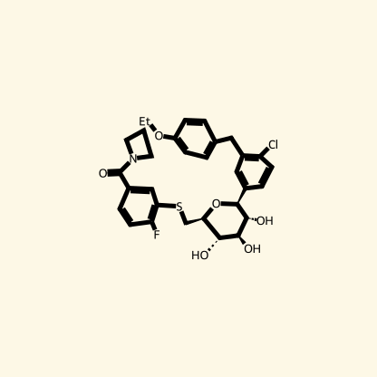 CCOc1ccc(Cc2cc([C@@H]3O[C@H](CSc4cc(C(=O)N5CCC5)ccc4F)[C@@H](O)[C@H](O)[C@H]3O)ccc2Cl)cc1